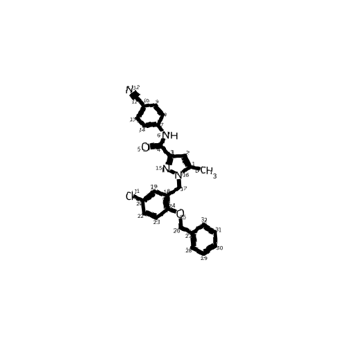 Cc1cc(C(=O)Nc2ccc(C#N)cc2)nn1Cc1cc(Cl)ccc1OCc1ccccc1